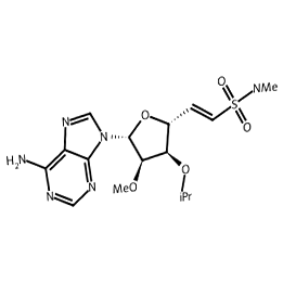 CNS(=O)(=O)/C=C/[C@H]1O[C@@H](n2cnc3c(N)ncnc32)[C@H](OC)[C@@H]1OC(C)C